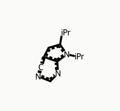 CC(C)c1cc2cncnc2n1C(C)C